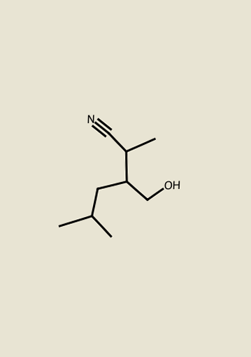 CC(C)CC(CO)C(C)C#N